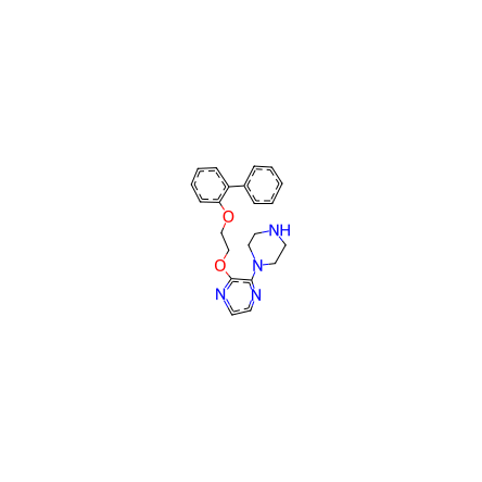 c1ccc(-c2ccccc2OCCOc2nccnc2N2CCNCC2)cc1